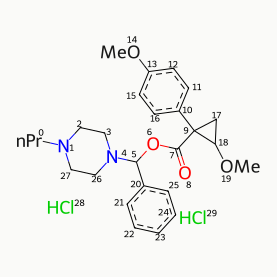 CCCN1CCN(C(OC(=O)C2(c3ccc(OC)cc3)CC2OC)c2ccccc2)CC1.Cl.Cl